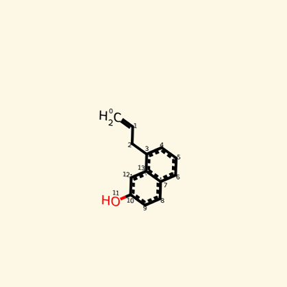 C=CCc1cccc2ccc(O)[c]c12